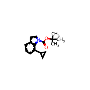 CC(C)(C)OC(=O)n1ccc2cccc(C3CC3)c21